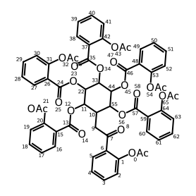 CC(=O)Oc1ccccc1C(=O)CC1C(OC(=O)c2ccccc2OC(C)=O)C(OC(=O)c2ccccc2OC(C)=O)C(OC(=O)c2ccccc2OC(C)=O)C(OC(=O)c2ccccc2OC(C)=O)C1OC(=O)c1ccccc1OC(C)=O